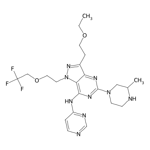 CCOCCc1nn(CCOCC(F)(F)F)c2c(Nc3ccncn3)nc(N3CCNC(C)C3)nc12